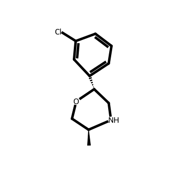 C[C@H]1CO[C@H](c2cccc(Cl)c2)CN1